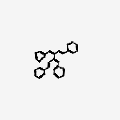 C(=Cc1ccccc1)C(=Cc1ccccc1)C(C=Cc1ccccc1)=Cc1ccccc1